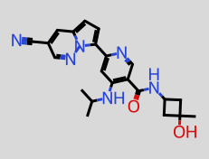 CC(C)Nc1cc(-c2ccc3cc(C#N)cnn23)ncc1C(=O)NC1CC(C)(O)C1